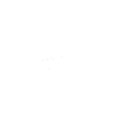 COC(=O)OCOc1c2n(ccc1=O)N([C@H]1c3ccc(F)cc3CSc3ccccc31)[C@@H]1COC3(CC3)CN1C2=O